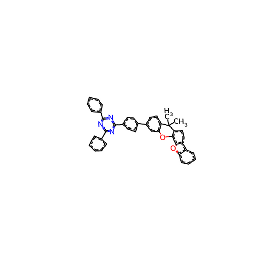 CC1(C)c2ccc(-c3ccc(-c4nc(-c5ccccc5)nc(-c5ccccc5)n4)cc3)cc2Oc2c1ccc1c2oc2ccccc21